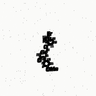 COc1ccc(N2CC(COc3cccn4c(Br)cnc34)OCC2=O)cc1